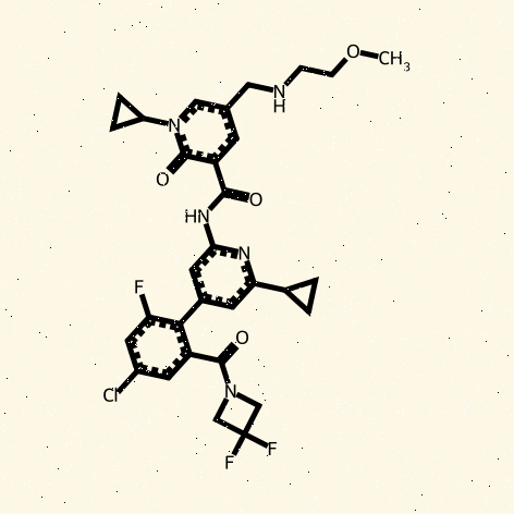 COCCNCc1cc(C(=O)Nc2cc(-c3c(F)cc(Cl)cc3C(=O)N3CC(F)(F)C3)cc(C3CC3)n2)c(=O)n(C2CC2)c1